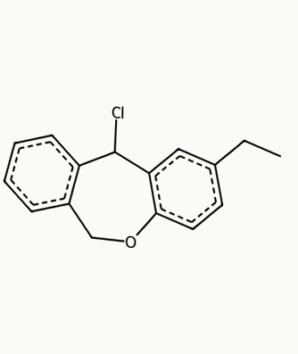 CCc1ccc2c(c1)C(Cl)c1ccccc1CO2